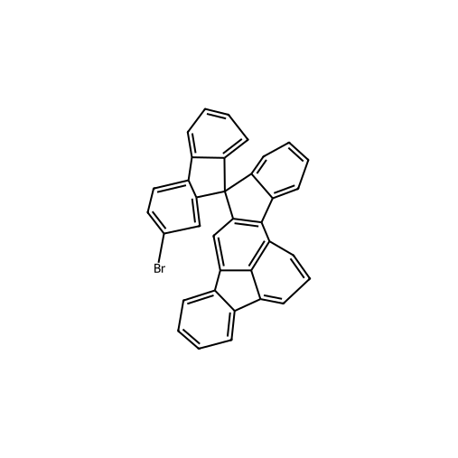 Brc1ccc2c(c1)C1(c3ccccc3-2)c2ccccc2-c2c1cc1c3c(cccc23)-c2ccccc2-1